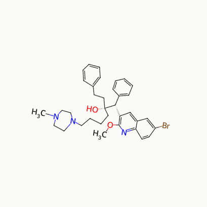 COc1nc2ccc(Br)cc2cc1[C@@H](c1ccccc1)[C@@](O)(CCCCN1CCN(C)CC1)CCc1ccccc1